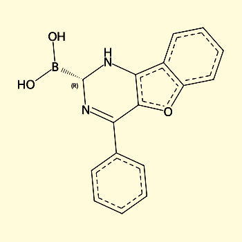 OB(O)[C@H]1N=C(c2ccccc2)c2oc3ccccc3c2N1